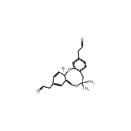 CC1(C)Cc2ccc(CC=O)cc2O[C@@H]2C=CC(CC=O)=C/C2=C/O1